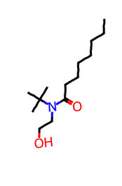 CCCCCCCC(=O)N(CCO)C(C)(C)C